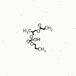 C=CC(=O)OCC(C)COP(=O)(O)OCCC